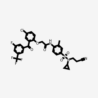 Cc1cc(S(=O)(=O)N(CCC#N)C2CC2)ccc1NC(=O)COc1ccc(Cl)cc1C(=O)c1cc(F)cc(C(F)(F)F)c1